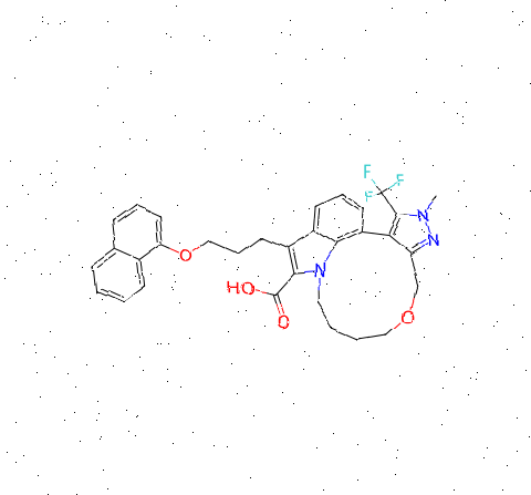 Cn1nc2c(c1C(F)(F)F)-c1cccc3c(CCCOc4cccc5ccccc45)c(C(=O)O)n(c13)CCCCOC2